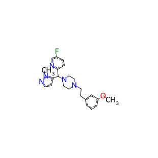 COc1cccc(CCN2CCN(C(c3ccc(F)cn3)c3ccnn3C)CC2)c1